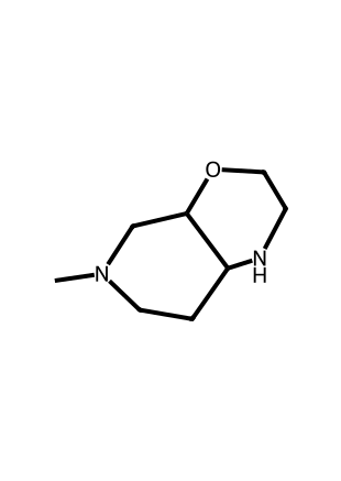 CN1CCC2NCCOC2C1